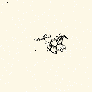 C=C[C@@]1(C)CC(=O)[C@]2(O)[C@@]3(C)[C@@H](O)CCC(C)(C)[C@@H]3[C@H](OC(=O)CCC)[C@H](OC(C)=O)[C@@]2(C)O1